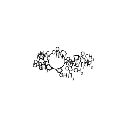 CCn1c(-c2cccnc2[C@H](C)OC)c2c3cc(ccc31)-c1cc(O)cc(c1)C[C@H](NC(=O)C(C(C)C)N(C)C(=O)[C@H]1CCN(C(=O)C(C)(C)NC)C1)C(=O)N1CCC[C@H](N1)C(=O)OCC(C)(C)C2